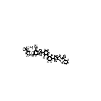 Cc1c(-c2nc3c(o2)CN(C(=O)[C@@H]2CCCN2C)C3)cccc1-c1cccc(-c2nc3cc(CN4CC[C@@H](C(=O)O)C4)cc(C#N)c3o2)c1C